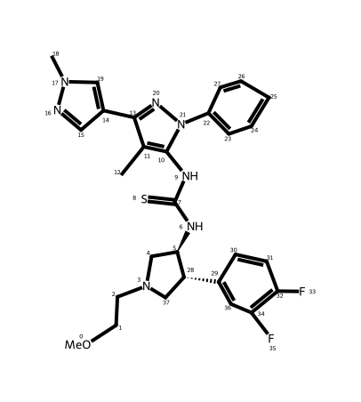 COCCN1C[C@@H](NC(=S)Nc2c(C)c(-c3cnn(C)c3)nn2-c2ccccc2)[C@H](c2ccc(F)c(F)c2)C1